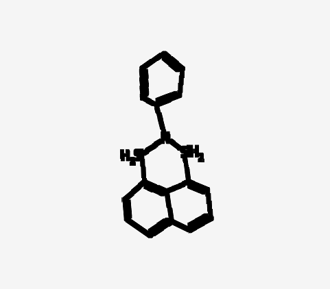 c1ccc(N2[SiH2]c3cccc4cccc(c34)[SiH2]2)cc1